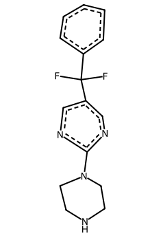 FC(F)(c1ccccc1)c1cnc(N2CCNCC2)nc1